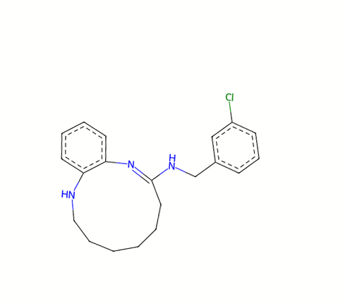 Clc1cccc(CN/C2=N/c3ccccc3NCCCCCC2)c1